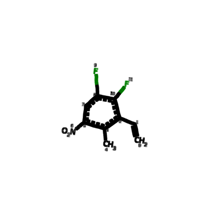 C=Cc1c(C)c([N+](=O)[O-])cc(F)c1F